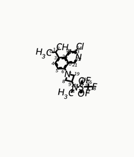 CC(C)c1ccc(N2CC(N(C)S(=O)(=O)C(F)(F)F)C2)c2cnc(Cl)cc12